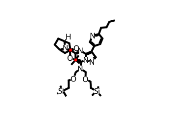 CCCCc1ccc(-c2cnn3c(N(COCC[Si](C)(C)C)COCC[Si](C)(C)C)cc(C4CC5CC[C@@H](C4)N5C(=O)OC(C)(C)C)nc23)cn1